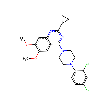 COc1cc2nc(C3CC3)nc(N3CCN(c4ccc(Cl)cc4Cl)CC3)c2cc1OC